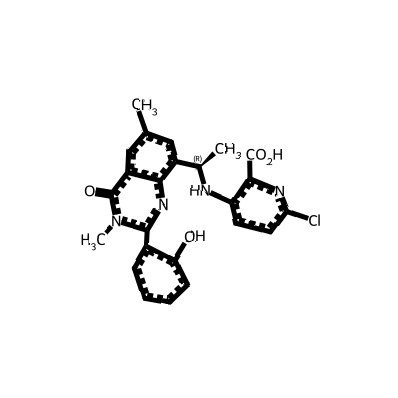 Cc1cc([C@@H](C)Nc2ccc(Cl)nc2C(=O)O)c2nc(-c3ccccc3O)n(C)c(=O)c2c1